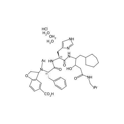 CC(=O)N(C1COc2ccc(C(=O)O)cc21)[C@@H](Cc1ccccc1)C(=O)N[C@@H](Cc1c[nH]cn1)C(=O)NC(CC1CCCCC1)C(O)CC(=O)NCC(C)C.Cl.O.O.O